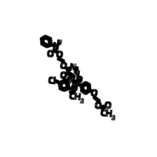 COc1ccc(Cl)c(Oc2c(NS(=O)(=O)c3ccc(OCCOC(C)=O)cc3)ncnc2OCCOC(=O)N(F)c2ccccc2)c1